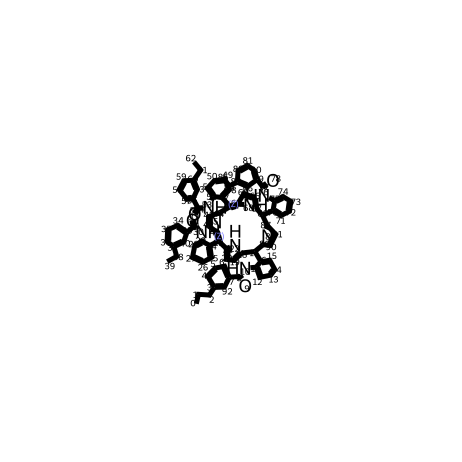 CCCc1cccc(C(=O)Nc2ccccc2C2c3ccc([nH]3)/C(c3ccccc3NC(=O)c3cccc(CC)c3)=C3/C=CC(=N3)/C(c3ccccc3NC(=O)c3cccc(CC)c3)=C3/C=CC(N3)C(c3ccccc3NC(=O)c3cccc(CC)c3)C3=NC2C=C3)c1